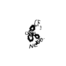 N#CC1CN([S+]([O-])c2cccc(C(=O)N3CCCCCC3C(=O)NCc3ccc(C(F)(F)F)cc3)c2)C1